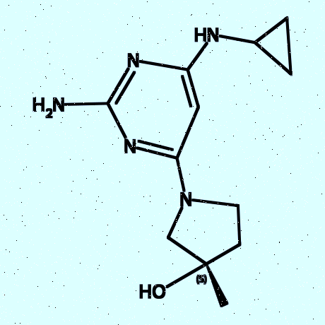 C[C@]1(O)CCN(c2cc(NC3CC3)nc(N)n2)C1